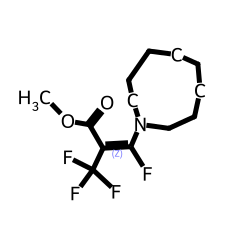 COC(=O)/C(=C(/F)N1CCCCCCCC1)C(F)(F)F